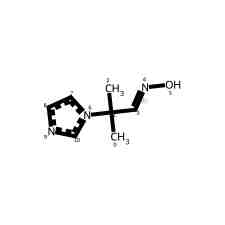 CC(C)(/C=N/O)n1ccnc1